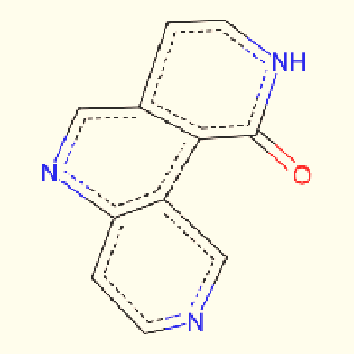 O=c1[nH]ccc2cnc3ccncc3c12